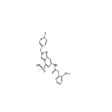 COc1ccccc1CC(=O)Nc1cc([S@](C)(=N)=O)c2cn(Cc3ccc(F)cc3)nc2c1